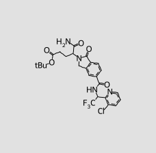 CC(C)(C)OC(=O)CCC(C(N)=O)N1Cc2cc(C(=O)NC(c3ncccc3Cl)C(F)(F)F)ccc2C1=O